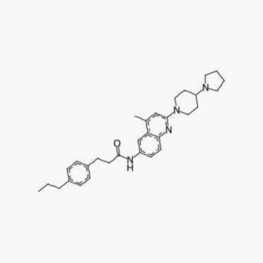 CCCc1ccc(CCC(=O)Nc2ccc3nc(N4CCC(N5CCCC5)CC4)cc(C)c3c2)cc1